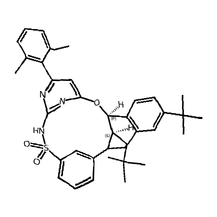 Cc1cccc(C)c1-c1cc2nc(n1)NS(=O)(=O)c1cccc(c1)C1Cc3cc(C(C)(C)C)ccc3[C@H](O2)[C@H]1CC(C)(C)C